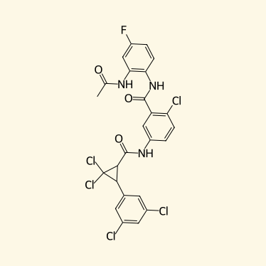 CC(=O)Nc1cc(F)ccc1NC(=O)c1cc(NC(=O)C2C(c3cc(Cl)cc(Cl)c3)C2(Cl)Cl)ccc1Cl